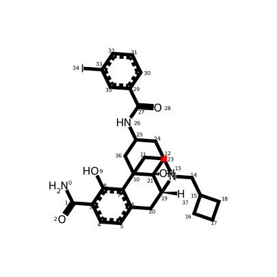 NC(=O)c1ccc2c(c1O)C13CCN(CC4CCC4)[C@H](C2)[C@]1(O)CCC(NC(=O)c1cccc(I)c1)C3